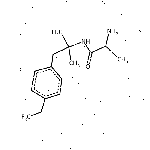 CC(N)C(=O)NC(C)(C)Cc1ccc(CC(F)(F)F)cc1